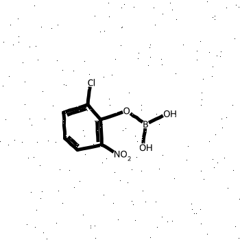 O=[N+]([O-])c1cccc(Cl)c1OB(O)O